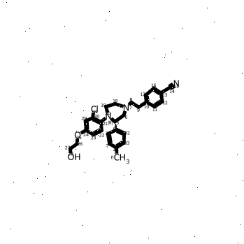 Cc1ccc([C@@H]2CN(CCc3ccc(C#N)cc3)CCN2c2ccc(OCCO)cc2Cl)cc1